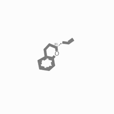 C=CC[C@H]1CCc2ccccc2O1